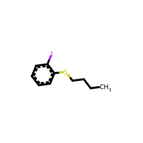 CCCCSc1ccc[c]c1I